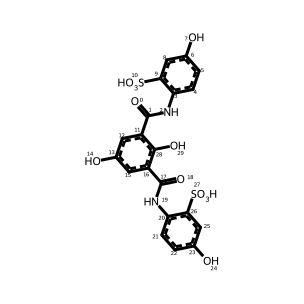 O=C(Nc1ccc(O)cc1S(=O)(=O)O)c1cc(O)cc(C(=O)Nc2ccc(O)cc2S(=O)(=O)O)c1O